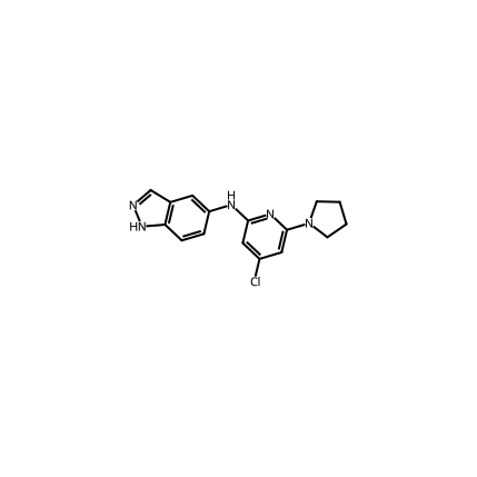 Clc1cc(Nc2ccc3[nH]ncc3c2)nc(N2CCCC2)c1